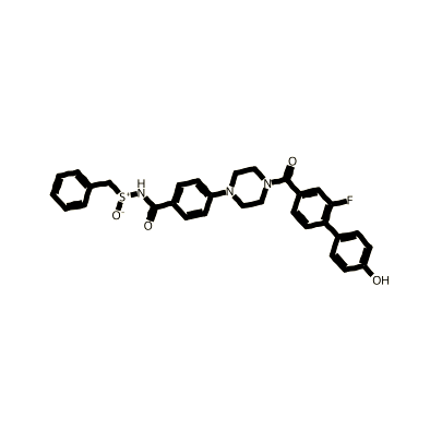 O=C(N[S+]([O-])Cc1ccccc1)c1ccc(N2CCN(C(=O)c3ccc(-c4ccc(O)cc4)c(F)c3)CC2)cc1